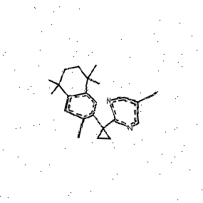 Cc1cnc(C2(c3cc4c(cc3C)C(C)(C)CCC4(C)C)CC2)nc1